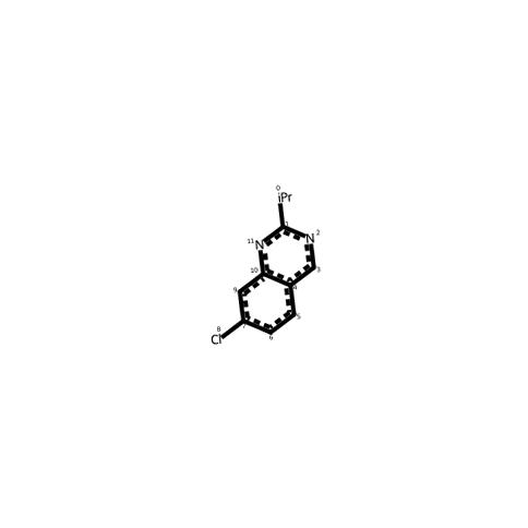 CC(C)c1ncc2ccc(Cl)cc2n1